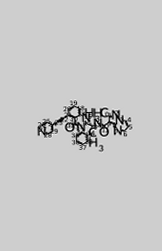 Cc1nn2cccnc2c1C(=O)N[C@H](C)c1nc2cccc(C#Cc3ccncc3)c2c(=O)n1-c1ccccc1